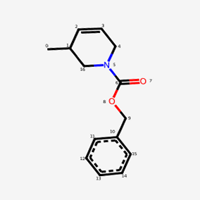 CC1C=CCN(C(=O)OCc2ccccc2)C1